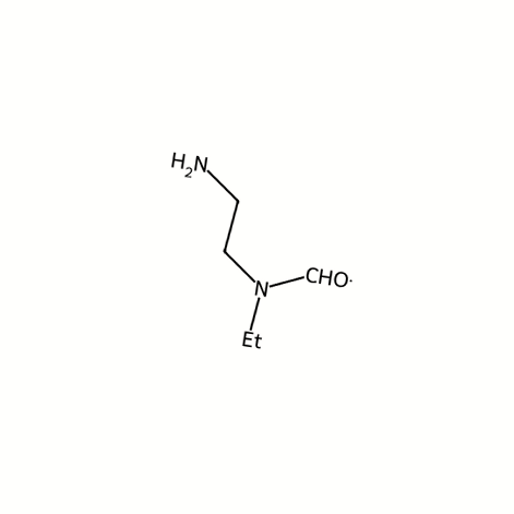 CCN([C]=O)CCN